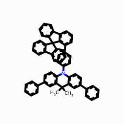 CC1(C)c2cc(-c3ccccc3)ccc2N(c2ccc(-c3cccc4c3C3(c5ccccc5-c5ccccc53)c3ccccc3-4)cc2)c2ccc(-c3ccccc3)cc21